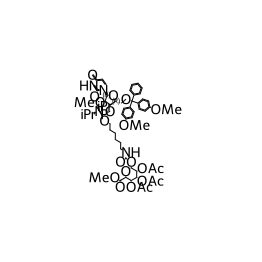 COC(=O)C1OC(OC(=O)NCCCCCCOP(OC2C(OC)[C@H](n3ccc(=O)[nH]c3=O)O[C@@H]2COC(c2ccccc2)(c2ccc(OC)cc2)c2ccc(OC)cc2)N(C(C)C)C(C)C)C(OC(C)=O)C(OC(C)=O)C1OC(C)=O